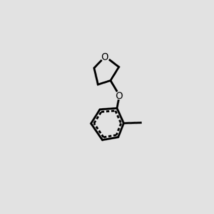 Cc1ccccc1OC1CCOC1